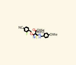 COC(=O)c1c(OCc2ccc(C#N)cc2F)nsc1NCc1ccc(OC)cc1OC